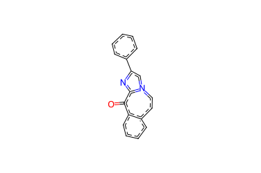 O=c1c2ccccc2ccn2cc(-c3ccccc3)nc12